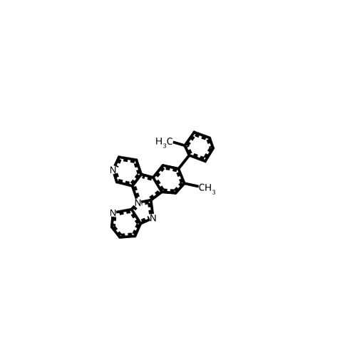 Cc1ccccc1-c1cc2c3ccncc3n3c4ncccc4nc3c2cc1C